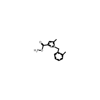 Cc1ccccc1Cn1nc(C(=O)OP)cc1C